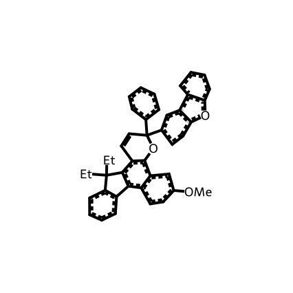 CCC1(CC)c2ccccc2-c2c1c1c(c3cc(OC)ccc23)OC(c2ccccc2)(c2ccc3oc4ccccc4c3c2)C=C1